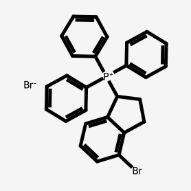 Brc1cccc2c1CCC2[P+](c1ccccc1)(c1ccccc1)c1ccccc1.[Br-]